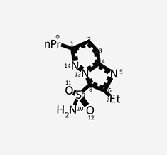 CCCc1ccc2nc(CC)c(S(N)(=O)=O)n2n1